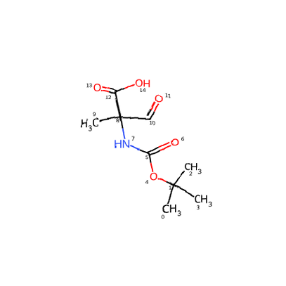 CC(C)(C)OC(=O)NC(C)(C=O)C(=O)O